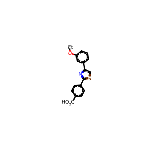 CCOc1cccc(-c2csc(-c3ccc(C(=O)O)cc3)n2)c1